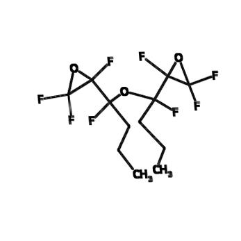 CCCC(F)(OC(F)(CCC)C1(F)OC1(F)F)C1(F)OC1(F)F